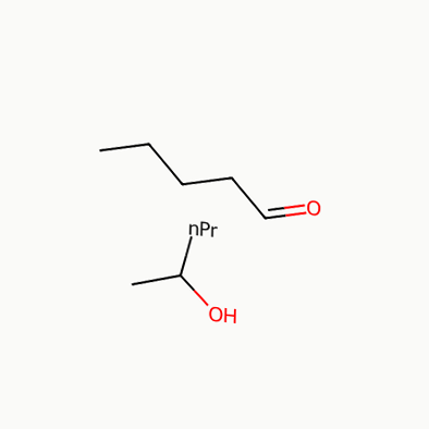 CCCC(C)O.CCCCC=O